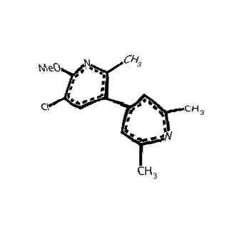 COc1nc(C)c(-c2cc(C)nc(C)c2)cc1Cl